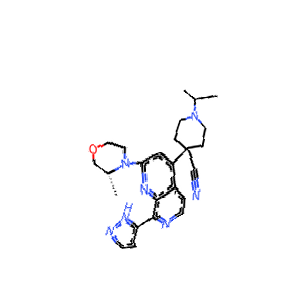 CC(C)N1CCC(C#N)(c2cc(N3CCOC[C@H]3C)nc3c(-c4ccn[nH]4)nccc23)CC1